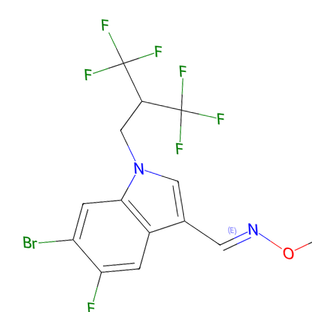 CO/N=C/c1cn(CC(C(F)(F)F)C(F)(F)F)c2cc(Br)c(F)cc12